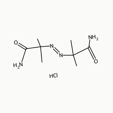 CC(C)(/N=N/C(C)(C)C(N)=O)C(N)=O.Cl